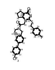 CC(C)(C)CN(Cc1ccc(-c2ccc(C(F)(F)F)cc2)cc1)C(=O)Cn1c(SCc2ccc(F)cc2)nc(=O)c2c1CCC2